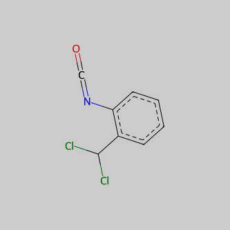 O=C=Nc1ccccc1C(Cl)Cl